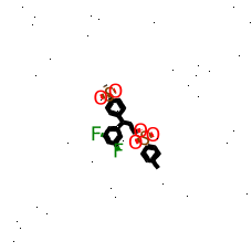 Cc1ccc(S(=O)(=O)OCCC(c2ccc(S(C)(=O)=O)cc2)c2cc(F)cc(F)c2)cc1